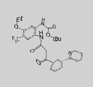 CCOc1cc(NC(=O)OC(C)(C)C)c(NC(=O)CC(=O)c2cccc(-c3ccccn3)c2)cc1C(F)(F)F